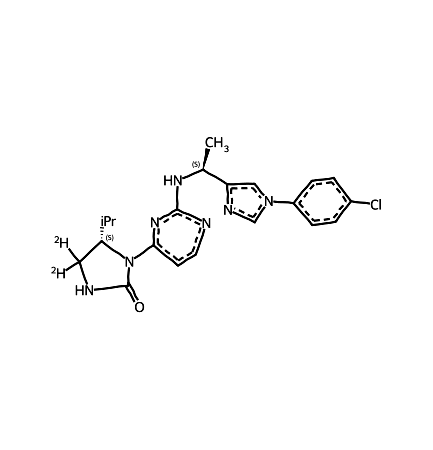 [2H]C1([2H])NC(=O)N(c2ccnc(N[C@@H](C)c3cn(-c4ccc(Cl)cc4)cn3)n2)[C@H]1C(C)C